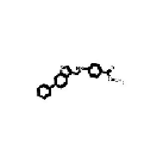 COC(=O)c1ccc(NCc2csc3cc(-c4ccccc4)ccc23)cc1